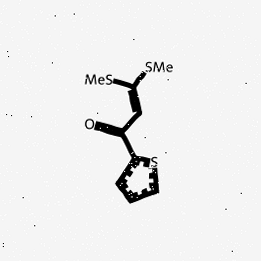 CSC(=CC(=O)c1cccs1)SC